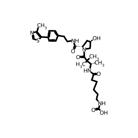 Cc1ncsc1-c1ccc(CCNC(=O)[C@@H]2C[C@@H](O)CN2C(=O)C(C)(C)[C@H](C)NC(=O)CCCCCNC(=O)O)cc1